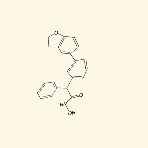 O=C(NO)C(c1ccccc1)c1cccc(-c2ccc3c(c2)CCO3)c1